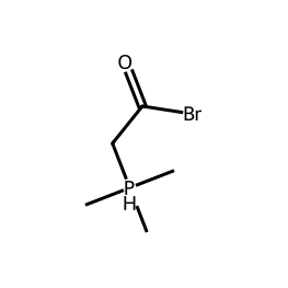 C[PH](C)(C)CC(=O)Br